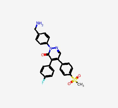 CS(=O)(=O)c1ccc(-c2cnn(-c3ccc(CN)cc3)c(=O)c2-c2ccc(F)cc2)cc1